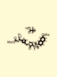 COC(=O)N=C(N)c1cc(CN2CC[C@H](N(C)S(=O)(=O)c3ccc4ccc(OC)cc4c3)C2=O)cs1.O=C(O)C(F)(F)F